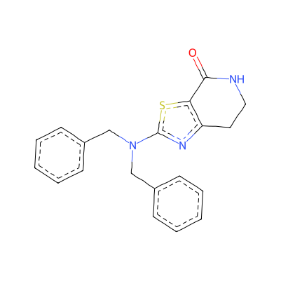 O=C1NCCc2nc(N(Cc3ccccc3)Cc3ccccc3)sc21